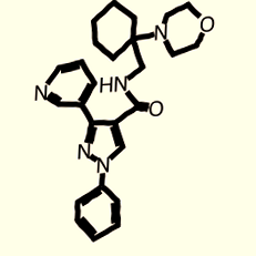 O=C(NCC1(N2CCOCC2)CCCCC1)c1cn(-c2ccccc2)nc1-c1cccnc1